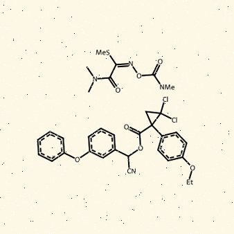 CCOc1ccc(C2(C(=O)OC(C#N)c3cccc(Oc4ccccc4)c3)CC2(Cl)Cl)cc1.CNC(=O)ON=C(SC)C(=O)N(C)C